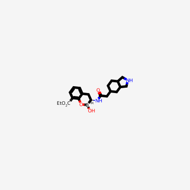 CCOC(=O)c1cccc2c1OB(O)[C@@H](NC(=O)CC1CCC3CNCC3C1)C2